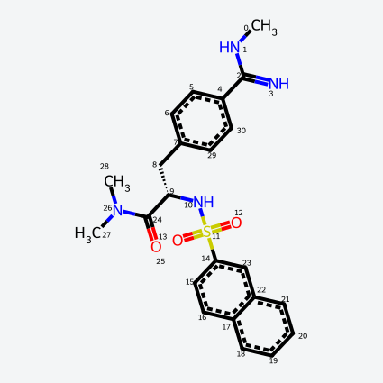 CNC(=N)c1ccc(C[C@H](NS(=O)(=O)c2ccc3ccccc3c2)C(=O)N(C)C)cc1